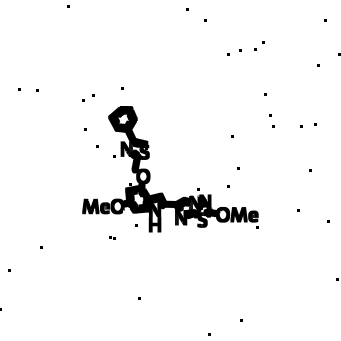 COc1cc(OCc2nc(-c3ccccc3)cs2)c2cc(-c3cn4nc(OC)sc4n3)[nH]c2c1